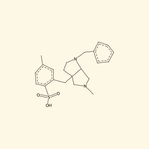 Cc1ccc(S(=O)(=O)O)c(CC23CCN(Cc4ccccc4)C2CN(C)C3)c1